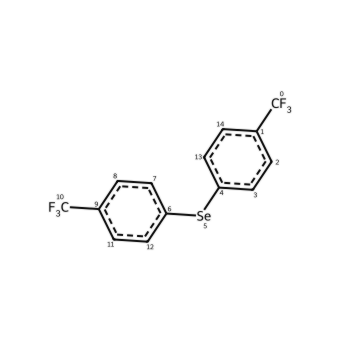 FC(F)(F)c1ccc([Se]c2ccc(C(F)(F)F)cc2)cc1